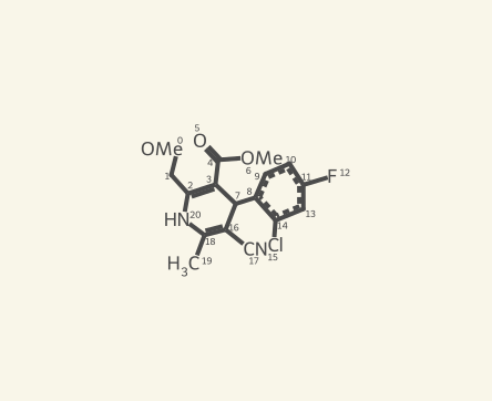 COCC1=C(C(=O)OC)C(c2ccc(F)cc2Cl)C(C#N)=C(C)N1